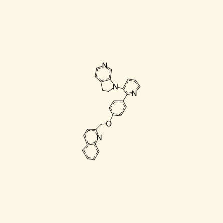 c1cnc(-c2ccc(OCc3ccc4ccccc4n3)cc2)c(N2CCc3ccncc32)c1